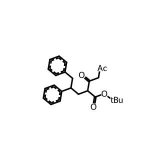 CC(=O)CC(=O)C(CC(Cc1ccccc1)c1ccccc1)C(=O)OC(C)(C)C